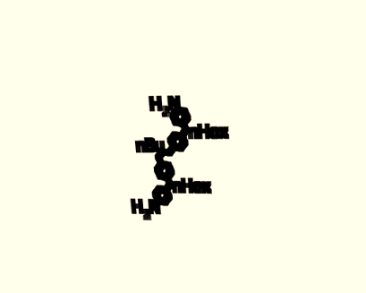 CCCCCCC(c1ccc(N)cc1)c1ccc(CC(CCCC)Cc2ccc(C(CCCCCC)c3ccc(N)cc3)cc2)cc1